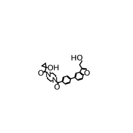 O=C(c1ccc(-c2ccc3occ(CCO)c3c2)cc1)N1CCN(C(=O)C2(O)CC2)CC1